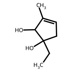 CCC1(O)CC=C(C)C1O